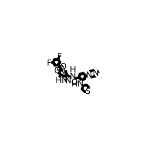 CN1CCN(c2ccc(C(=O)Nc3n[nH]c4c3CN(S(=O)(=O)c3cc(F)cc(F)c3)C4(C)C)c(NC3CCSCC3)c2)CC1